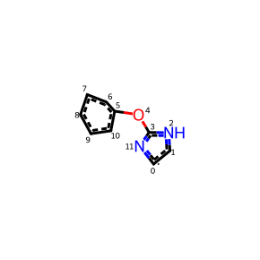 [c]1c[nH]c(Oc2ccccc2)n1